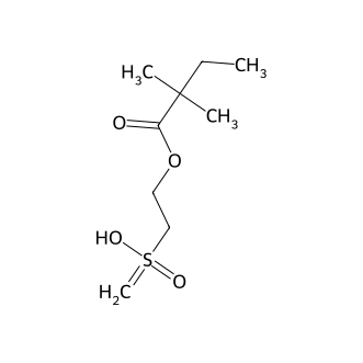 C=S(=O)(O)CCOC(=O)C(C)(C)CC